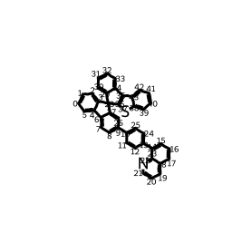 c1ccc2c(c1)-c1ccc(-c3ccc(-c4cccc5cccnc45)cc3)cc1C21c2ccccc2-c2c1sc1ccccc21